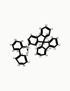 IN(c1ccc2c(c1)C1(c3ccccc3-c3ccccc31)c1ccccc1-2)c1ccccc1-c1ccccc1